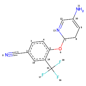 N#Cc1ccc(OC2CC=C(N)C=N2)c(C(F)(F)F)c1